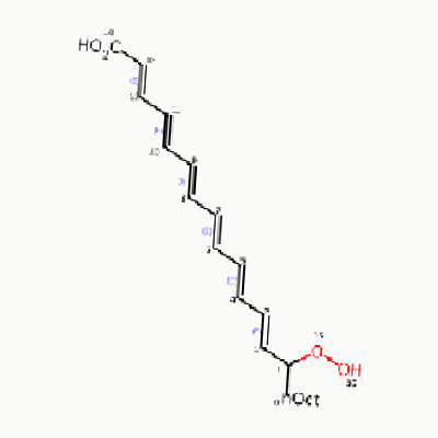 CCCCCCCCC(/C=C/C=C/C=C/C=C/C=C/C=C/C(=O)O)OO